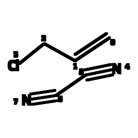 C=CCCl.N#CC#N